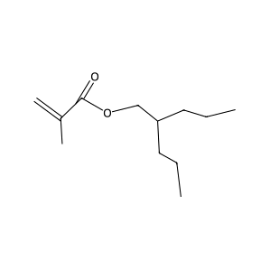 C=C(C)C(=O)OCC(CCC)CCC